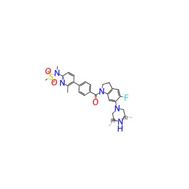 Cc1nc(N(C)S(C)(=O)=O)ccc1-c1ccc(C(=O)N2CCc3cc(F)c(N4C[C@@H](C)N[C@@H](C)C4)cc32)cc1